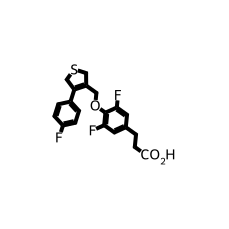 O=C(O)CCc1cc(F)c(OCC2=C(c3ccc(F)cc3)CSC2)c(F)c1